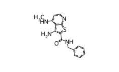 CNc1ccnc2sc(C(=O)NCc3ccccc3)c(N)c12